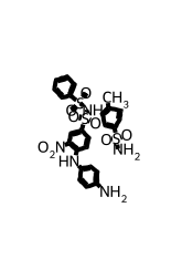 Cc1ccc(S(N)(=O)=O)cc1.Nc1ccc(Nc2ccc(S(=O)(=O)NS(=O)(=O)c3ccccc3)cc2[N+](=O)[O-])cc1